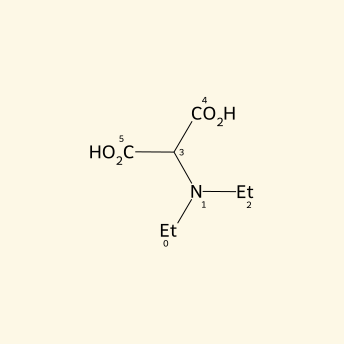 CCN(CC)C(C(=O)O)C(=O)O